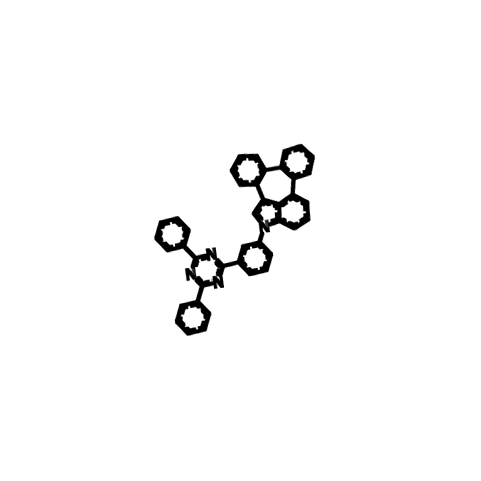 c1ccc(-c2nc(-c3ccccc3)nc(-c3cccc(-n4cc5c6c(cccc64)-c4ccccc4-c4ccccc4-5)c3)n2)cc1